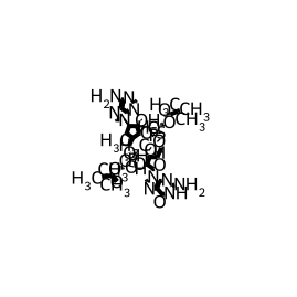 CO[C@H]1[C@H]2O[P@](=O)(OCOC(=O)C(C)(C)C)OC[C@@]3(C)C[C@@H](n4cnc5c(N)ncnc54)[C@H](O)[C@@H]3O[P@@](=O)(SCOC(=O)C(C)(C)C)OC[C@H]1O[C@H]2n1cnc2c(=O)[nH]c(N)nc21